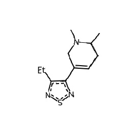 CCc1nsnc1C1=CCC(C)N(C)C1